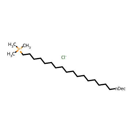 CCCCCCCCCCCCCCCCCCCCCCCCCCC[P+](C)(C)C.[Cl-]